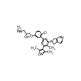 CNC[C@H](O)COc1ccc(Cl)c(-c2nc(-c3c(C)noc3C)c(C)c(N3Cc4ccncc4C3)n2)c1